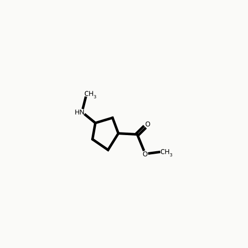 CNC1CCC(C(=O)OC)C1